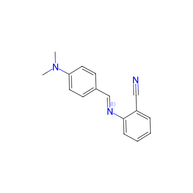 CN(C)c1ccc(/C=N/c2ccccc2C#N)cc1